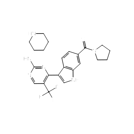 O=C(c1ccc2c(-c3nc(N[C@H]4CCCNC4)ncc3C(F)(F)F)c[nH]c2c1)N1CCCC1